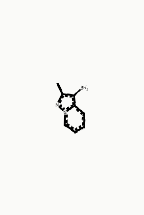 Bc1c(C)nn2ccccc12